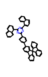 c1ccc2c(c1)-c1ccccc1C21c2ccccc2-c2ccc(-c3ccc(-c4nc(-c5cccc6ccccc56)nc(-c5cccc6ccccc56)n4)cc3)cc21